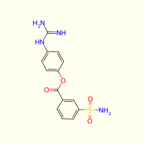 N=C(N)Nc1ccc(OC(=O)c2cccc(S(N)(=O)=O)c2)cc1